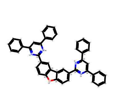 c1ccc(-c2cc(-c3ccccc3)nc(-c3ccc4oc5ccc(-c6nc(-c7ccccc7)cc(-c7ccccc7)n6)cc5c4c3)n2)cc1